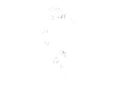 CC(=O)N[C@H]1[C@H]([C@H](O)[C@H](O)CNC(=O)c2ccc(-c3ccc(C)cc3)cc2)O[C@@](OCCCSCCNC(=O)c2ccc(C(=O)NCCSCCCO[C@]3(C(=O)O)C[C@H](O)[C@@H](NC(C)=O)[C@H]([C@H](O)[C@@H](O)CNC(=O)c4ccc(-c5ccc(C)cc5)cc4)O3)cc2)(C(=O)O)C[C@@H]1O